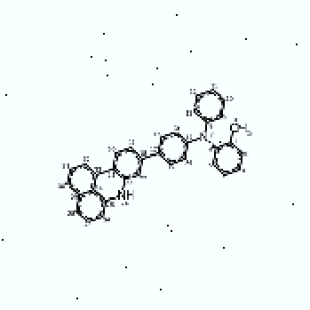 Cc1ccccc1N(c1ccccc1)c1ccc(-c2ccc3c(c2)Nc2cccc4cccc-3c24)cc1